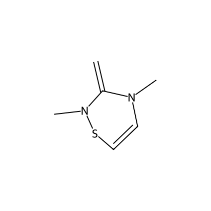 C=C1N(C)C=CSN1C